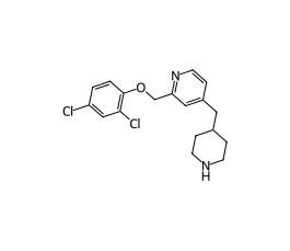 Clc1ccc(OCc2cc(CC3CCNCC3)ccn2)c(Cl)c1